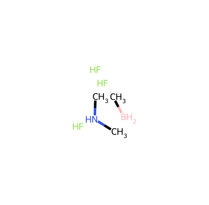 BC.CNC.F.F.F